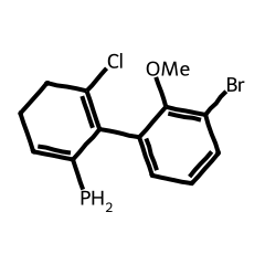 COc1c(Br)cccc1C1=C(Cl)CCC=C1P